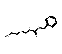 O=C(NCOCCO)OCc1ccccc1